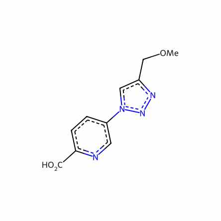 COCc1cn(-c2ccc(C(=O)O)nc2)nn1